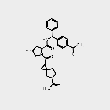 CC(=O)N1CCC2(CC2C(=O)N2C[C@H](F)C[C@H]2C(=O)N[C@@H](c2ccccc2)c2ccc(C(C)C)cc2)C1